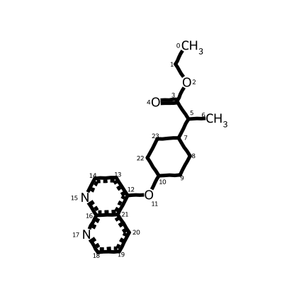 CCOC(=O)C(C)C1CCC(Oc2ccnc3ncccc23)CC1